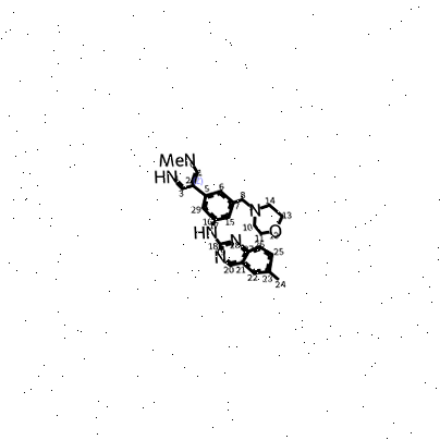 CN/C=C(\C=N)c1cc(CN2CCOCC2)cc(Nc2ncc3cc(C)ccc3n2)c1